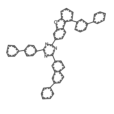 c1ccc(-c2ccc(-c3nc(-c4ccc5ccc(-c6ccccc6)cc5c4)nc(-c4ccc5c(c4)oc4cccc(-c6cccc(-c7ccccc7)c6)c45)n3)cc2)cc1